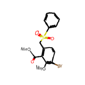 COC(=O)c1c(CS(=O)(=O)c2ccccc2)ccc(Br)c1OC